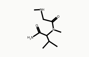 CNCC(=O)N(C)C(C(N)=O)C(C)C